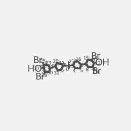 CC(C)(c1ccc(-c2cc(Br)c(O)c(Br)c2)cc1)c1ccc(-c2cc(Br)c(O)c(Br)c2)cc1